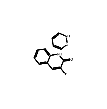 C1=CNSC=C1.O=c1[nH]c2ccccc2cc1F